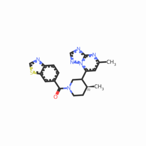 Cc1cc(C2CN(C(=O)c3ccc4ncsc4c3)CC[C@@H]2C)n2ncnc2n1